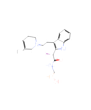 CCC1=CCCN(CCc2c([C@H](I)C(=O)NCPO)[nH]c3ccccc23)C1